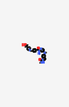 CNC(=O)n1ccc2cc(N(C)c3ccnc(NC(=O)c4ccc(CN5CCC(C(C)(C)O)CC5)cc4)c3)ccc21